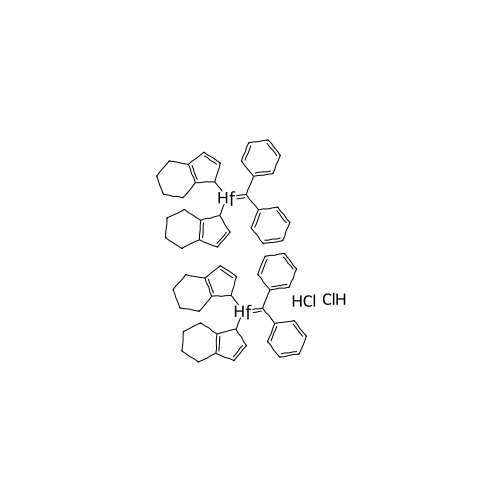 C1=C[CH]([Hf](=[C](c2ccccc2)c2ccccc2)[CH]2C=CC3=C2CCCC3)C2=C1CCCC2.C1=C[CH]([Hf](=[C](c2ccccc2)c2ccccc2)[CH]2C=CC3=C2CCCC3)C2=C1CCCC2.Cl.Cl